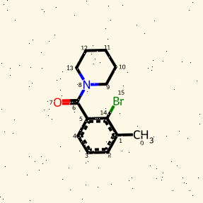 Cc1cccc(C(=O)N2CCCCC2)c1Br